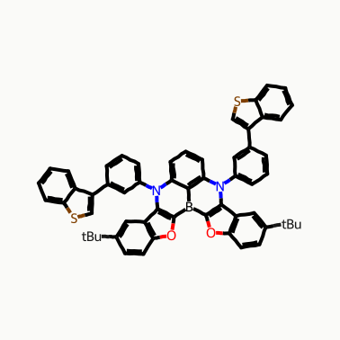 CC(C)(C)c1ccc2oc3c(c2c1)N(c1cccc(-c2csc4ccccc24)c1)c1cccc2c1B3c1oc3ccc(C(C)(C)C)cc3c1N2c1cccc(-c2csc3ccccc23)c1